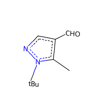 Cc1c(C=O)cnn1C(C)(C)C